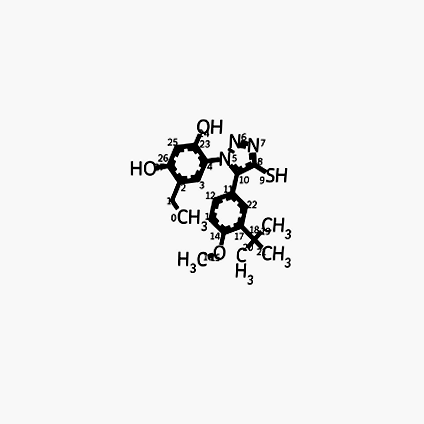 CCc1cc(-n2nnc(S)c2-c2ccc(OC)c(C(C)(C)C)c2)c(O)cc1O